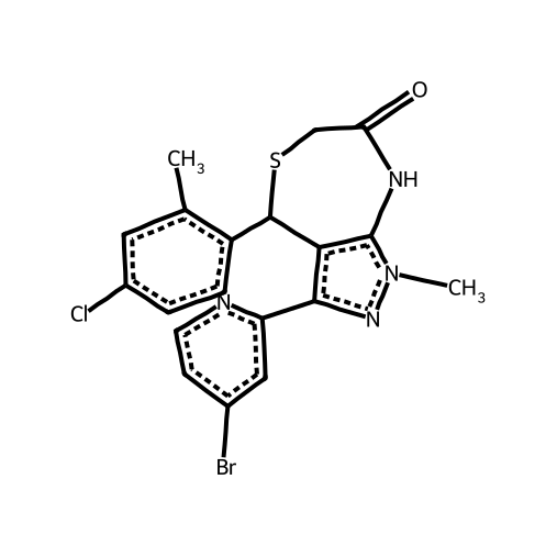 Cc1cc(Cl)ccc1C1SCC(=O)Nc2c1c(-c1cc(Br)ccn1)nn2C